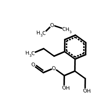 CCCc1ccccc1C(CO)C(O)OC=O.COC